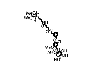 COC(=O)[C@H](CCCCNC(=O)CCCC(=O)NCc1cccc(COc2cc(OC)c(C(=O)O[C@H]3[C@@H](OC)O[C@H](CO)[C@@H](O)[C@@H]3O)cc2Cl)c1)NC(=O)OC(C)(C)C